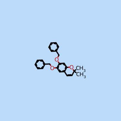 CC1(C)C=Cc2cc(OCc3ccccc3)c(OCc3ccccc3)cc2O1